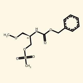 COC[C@H](COS(C)(=O)=O)NC(=O)OCc1ccccc1